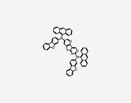 c1ccc2c(N(c3ccc4c(c3)oc3ccccc34)c3cnc4c(c3)sc3nc(N(c5ccc6c(c5)oc5ccccc56)c5c6ccccc6cc6ccccc56)ncc34)c3ccccc3cc2c1